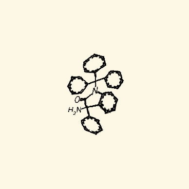 NC1(c2ccccc2)C(=O)N(C(c2ccccc2)(c2ccccc2)c2ccccc2)c2ccccc21